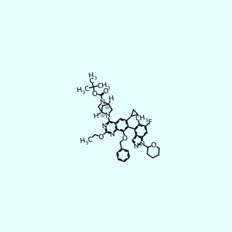 CCOc1nc(N2C[C@@H]3C[C@H]2CN3C(=O)OC(C)(C)C)c2cc(C3CC3)c(-c3c(C)c(F)cc4c3cnn4C3CCCCO3)c(OCc3ccccc3)c2n1